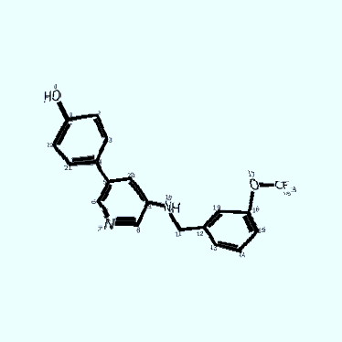 Oc1ccc(-c2cncc(NCc3cccc(OC(F)(F)F)c3)c2)cc1